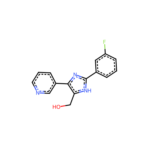 OCc1[nH]c(-c2cccc(F)c2)nc1-c1cccnc1